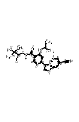 CC(C)Nc1cc(-c2cnc3cc(C#N)cnn23)ncc1C(=O)NC[C@@H](F)C(C)(C)O